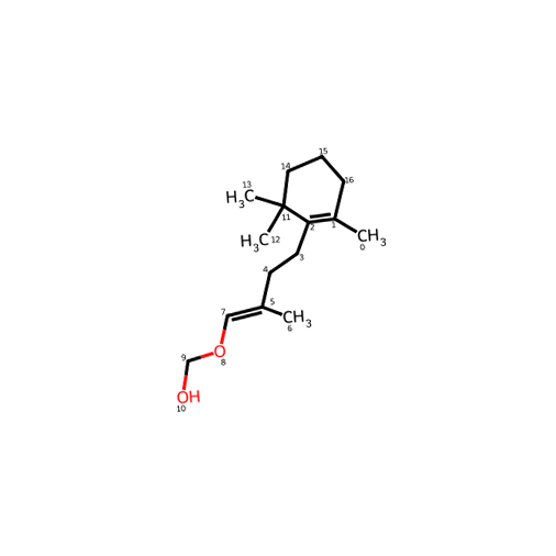 CC1=C(CC/C(C)=C/OCO)C(C)(C)CCC1